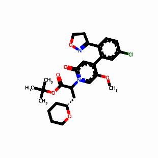 COc1cn(C(C[C@H]2CCCCO2)C(=O)OC(C)(C)C)c(=O)cc1-c1cc(Cl)ccc1C1=NOCC1